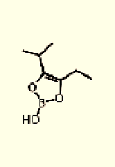 CCC1=C(C(C)C)OB(O)O1